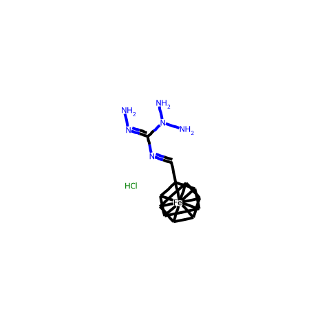 Cl.NN=C(N=C[C]12[CH]3[CH]4[CH]5[CH]1[Fe]45321678[CH]2[CH]1[CH]6[CH]7[CH]28)N(N)N